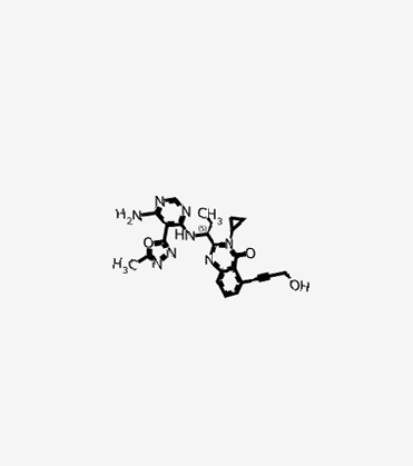 CC[C@H](Nc1ncnc(N)c1-c1nnc(C)o1)c1nc2cccc(C#CCO)c2c(=O)n1C1CC1